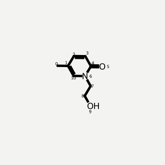 Cc1ccc(=O)n(CCO)c1